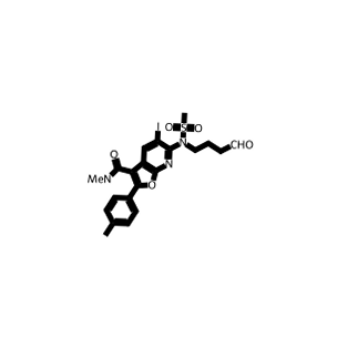 CNC(=O)c1c(-c2ccc(C)cc2)oc2nc(N(CCCC=O)S(C)(=O)=O)c(I)cc12